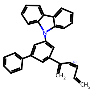 C=C/C=C\C(=C)c1cc(-c2ccccc2)cc(-n2c3ccccc3c3ccccc32)c1